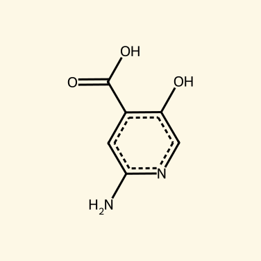 Nc1cc(C(=O)O)c(O)cn1